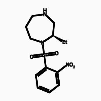 CC[C@@H]1CNCCCN1S(=O)(=O)c1ccccc1[N+](=O)[O-]